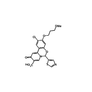 COCCCOc1cc2c(cc1Cl)-c1cc(=O)c(C(=O)O)cn1C(c1cncs1)O2